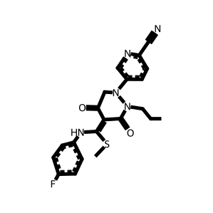 CCCN1C(=O)C(=C(Nc2ccc(F)cc2)SC)C(=O)CN1c1ccc(C#N)nc1